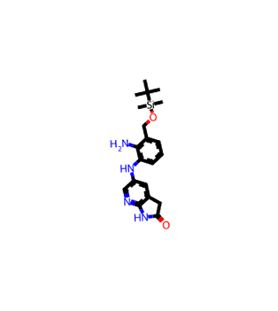 CC(C)(C)[Si](C)(C)OCc1cccc(Nc2cnc3c(c2)CC(=O)N3)c1N